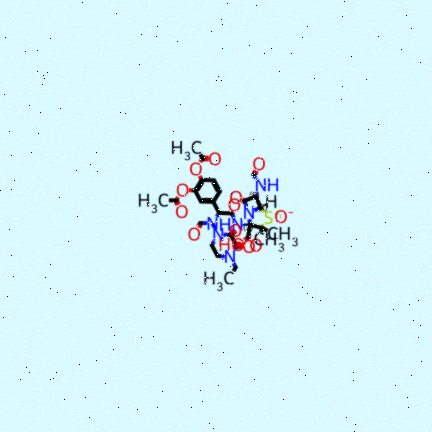 CCN1CCN(N(C=O)C(C(=O)N[C@@]2(C(=O)O)N3C(=O)[C@H](NC=O)[C@H]3[S+]([O-])C2(C)C)c2ccc(OC(C)=O)c(OC(C)=O)c2)C(=O)C1=O